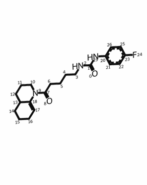 O=C(NCCCCC(=O)N1CCCC2CCCC=C21)Nc1ccc(F)cc1